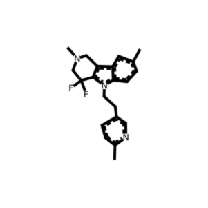 Cc1ccc2c(c1)c1c(n2CCc2ccc(C)nc2)C(F)(F)CN(C)C1